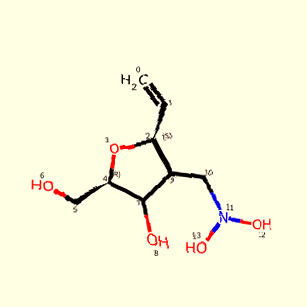 C=C[C@@H]1O[C@H](CO)C(O)C1CN(O)O